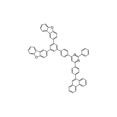 c1ccc(-c2nc(-c3ccc(-c4cc(-c5ccc6oc7ccccc7c6c5)cc(-c5ccc6oc7ccccc7c6c5)c4)cc3)cc(-c3ccc(-c4cc5ccccc5c5ccccc45)cc3)n2)cc1